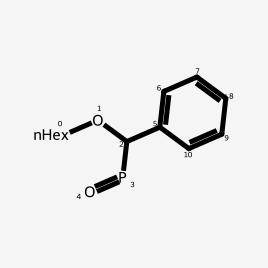 CCCCCCOC(P=O)c1cc[c]cc1